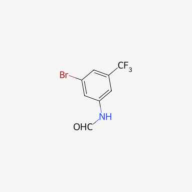 O=CNc1cc(Br)cc(C(F)(F)F)c1